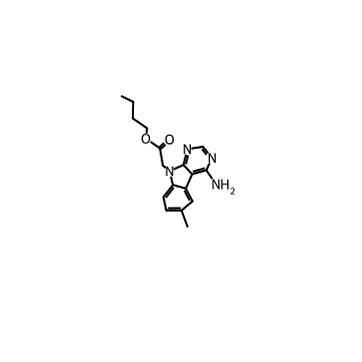 CCCCOC(=O)Cn1c2ccc(C)cc2c2c(N)ncnc21